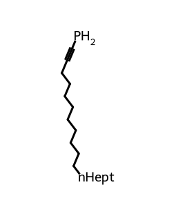 CCCCCCCCCCCCCCCCC#CP